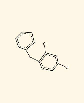 Clc1cnc([CH]c2ccccc2)c(Cl)c1